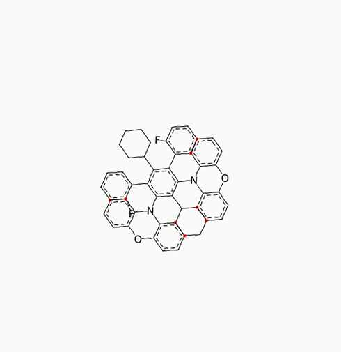 Fc1ccccc1-c1c(C2CCCCC2)c(-c2ccccc2F)c(N2c3ccccc3Oc3ccccc32)c(C2CCCCC2)c1N1c2ccccc2Oc2ccccc21